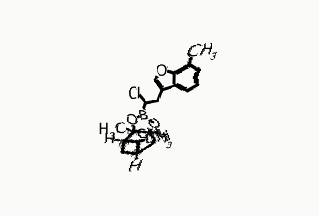 Cc1cccc2c(CC(Cl)B3O[C@@H]4C[C@@H]5C[C@@H](C5(C)C)[C@]4(C)O3)coc12